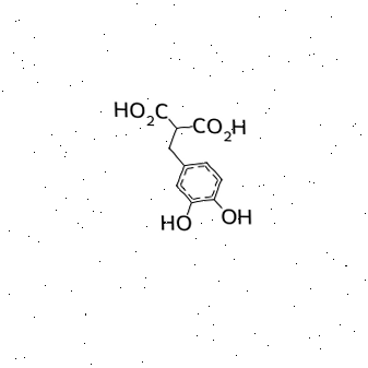 O=C(O)C(Cc1ccc(O)c(O)c1)C(=O)O